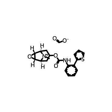 C[N+]1(C)[C@@H]2CC(OC(=O)Nc3ccccc3-c3cccs3)C[C@H]1[C@@H]1O[C@@H]12.O=C[O-]